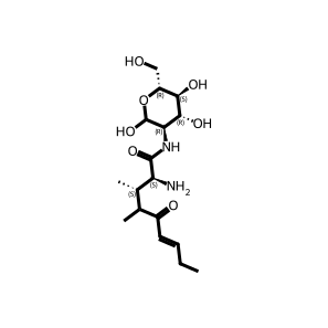 CCC=CC(=O)C(C)[C@H](C)[C@H](N)C(=O)N[C@H]1C(O)O[C@H](CO)[C@@H](O)[C@@H]1O